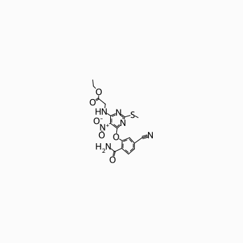 CCOC(=O)CNc1nc(SC)nc(Oc2cc(C#N)ccc2C(N)=O)c1[N+](=O)[O-]